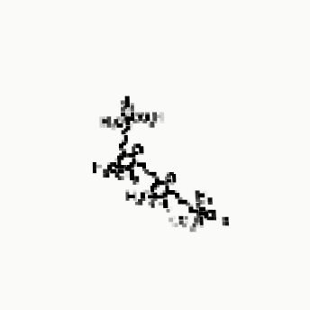 CC1(C)C=C(CCCCC(C)(C)C(=O)O)C(=O)C(CCCC2=CC(C)(C)C=C(CCCCC(C)(C)C(=O)O)C2=O)=C1